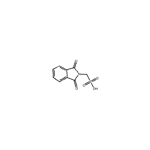 O=C1c2ccccc2C(=O)N1CS(=O)(=O)O